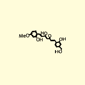 COc1ccc(/C=C/C(O)=C/C(=O)/C=C/c2ccc(CO)cc2O)c(O)c1